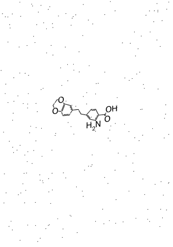 Nc1cc(CCc2ccc3c(c2)OCCO3)ccc1C(=O)O